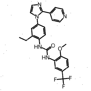 CCc1cc(-n2ccnc2-c2ccncc2)ccc1NC(=O)Nc1cc(C(F)(F)F)ccc1OC